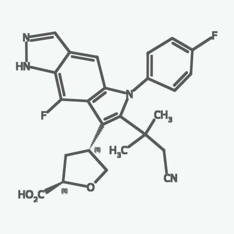 CC(C)(CC#N)c1c([C@@H]2CO[C@@H](C(=O)O)C2)c2c(F)c3[nH]ncc3cc2n1-c1ccc(F)cc1